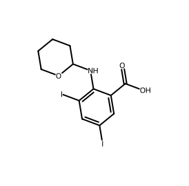 O=C(O)c1cc(I)cc(I)c1NC1CCCCO1